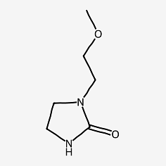 COCCN1CCNC1=O